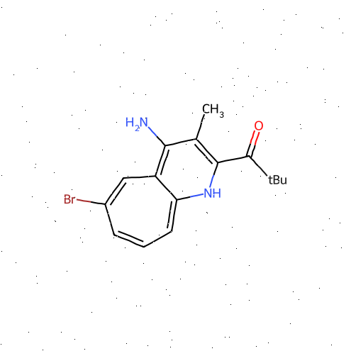 CC1=C(C(=O)C(C)(C)C)NC2=CC=CC(Br)=CC2=C1N